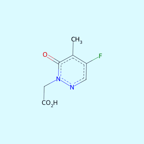 Cc1c(F)cnn(CC(=O)O)c1=O